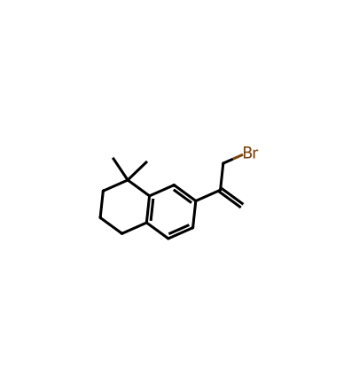 C=C(CBr)c1ccc2c(c1)C(C)(C)CCC2